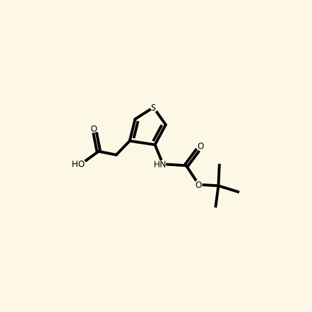 CC(C)(C)OC(=O)Nc1cscc1CC(=O)O